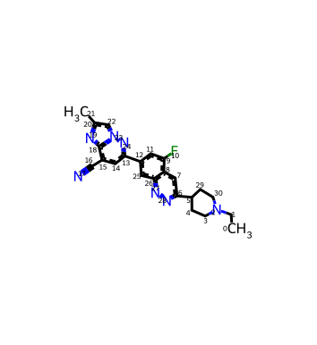 CCN1CCC(c2cc3c(F)cc(-c4cc(C#N)c5nc(C)cn5n4)cc3nn2)CC1